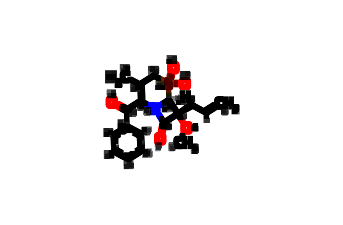 C=CC[C@@]1(OC)C(=O)N2C(C(=O)c3ccccc3)=C(C)CS(=O)(=O)[C@H]21